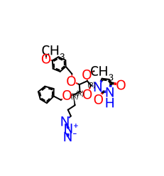 COc1ccc(COC2C(OC)[C@H](n3ccc(=O)[nH]c3=O)O[C@@H]2[C@@H](CCCN=[N+]=[N-])OCc2ccccc2)cc1